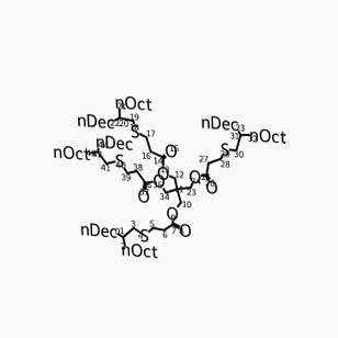 CCCCCCCCCCC(CCCCCCCC)CSCCC(=O)OCC(COC(=O)CCSCC(CCCCCCCC)CCCCCCCCCC)(COC(=O)CCSCC(CCCCCCCC)CCCCCCCCCC)COC(=O)CCSCC(CCCCCCCC)CCCCCCCCCC